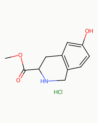 COC(=O)C1Cc2cc(O)ccc2CN1.Cl